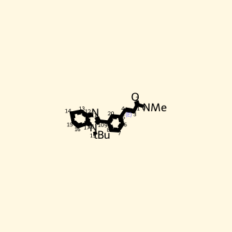 CNC(=O)/C=C/c1cccc(-c2nc3ccccc3n2C(C)(C)C)c1